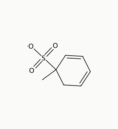 CC1(S([O])(=O)=O)C=CC=CC1